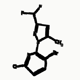 Cc1cc(C(F)F)nn1-c1nc(Cl)ccc1Br